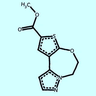 COC(=O)c1cc2c(s1)OCCn1nccc1-2